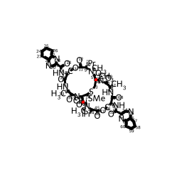 CSC1SC[C@H]2C(=O)N(C)C(C(C)C)C(=O)OC[C@@H](NC(=O)c3cnc4ccccc4n3)C(=O)N[C@@H](C)C(=O)N(C)[C@@H]1C(=O)N(C)C(C(C)C)C(=O)OC[C@@H](NC(=O)c1cnc3ccccc3n1)C(=O)N[C@@H](C)C(=O)N2C